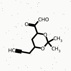 C#CCC1CC(C(=O)C=O)OC(C)(C)O1